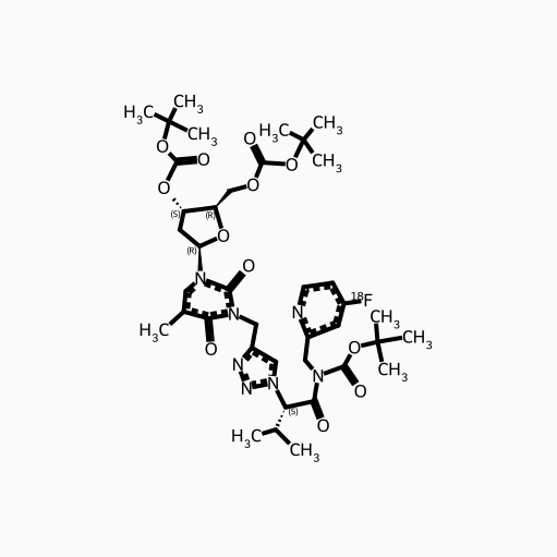 Cc1cn([C@H]2C[C@H](OC(=O)OC(C)(C)C)[C@@H](COC(=O)OC(C)(C)C)O2)c(=O)n(Cc2cn([C@H](C(=O)N(Cc3cc([18F])ccn3)C(=O)OC(C)(C)C)C(C)C)nn2)c1=O